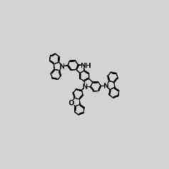 c1ccc2c(c1)oc1ccc(-n3c4ccc(-n5c6ccccc6c6ccccc65)cc4c4cc5[nH]c6ccc(-n7c8ccccc8c8ccccc87)cc6c5cc43)cc12